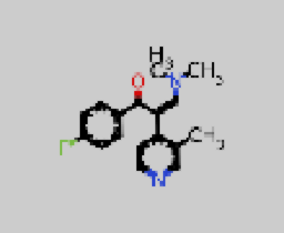 Cc1cnccc1C(=CN(C)C)C(=O)c1ccc(F)cc1